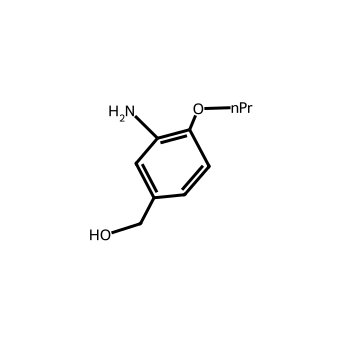 CCCOc1ccc(CO)cc1N